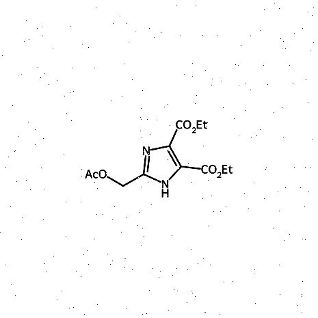 CCOC(=O)c1nc(COC(C)=O)[nH]c1C(=O)OCC